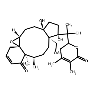 CC(=O)OC[C@]12CC[C@@H](C)[C@@]3(C)C(=O)C=CC[C@]34O[C@@H]4CC[C@]1(O)CC[C@@]2(O)C(C)(O)C1CC(C)=C(C)C(=O)O1